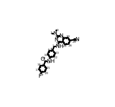 CN(C)c1nc(NCc2ccc(NC(=O)c3ccc(F)cc3)cc2)c2ccc(C#N)cc2n1